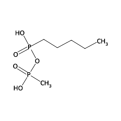 CCCCCP(=O)(O)OP(C)(=O)O